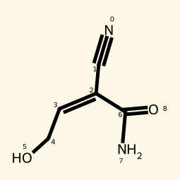 N#CC(=CCO)C(N)=O